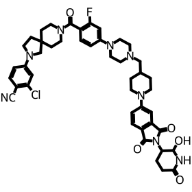 N#Cc1ccc(N2CCC3(CCN(C(=O)c4ccc(N5CCN(CC6CCN(c7ccc8c(c7)C(=O)N(C7CCC(=O)NC7O)C8=O)CC6)CC5)cc4F)CC3)C2)cc1Cl